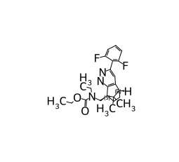 CCOC(=O)N(CC)C[C@@]12CC[C@@H](c3cc(-c4c(F)cccc4F)nnc31)C2(C)C